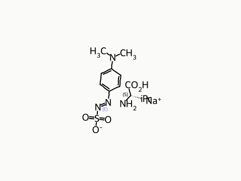 CC(C)[C@H](N)C(=O)O.CN(C)c1ccc(/N=N/S(=O)(=O)[O-])cc1.[Na+]